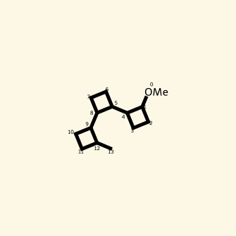 COC1CCC1C1CCC1C1CCC1C